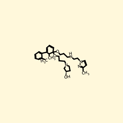 Cc1ccn(CCNCCCOC2(OCCCN3CC[C@@H](O)C3)C=CC=C(c3ccccc3C)C2C)n1